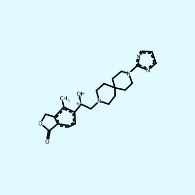 Cc1c([C@@H](O)CN2CCC3(CC2)CCN(c2ncccn2)CC3)ccc2c1COC2=O